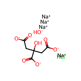 Cl.O=C([O-])CC(O)(CC(=O)[O-])C(=O)[O-].[Na+].[Na+].[Na+].[Na+].[OH-]